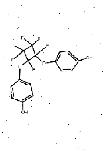 Oc1ccc(OC2(F)C(F)(F)C(F)(F)C2(F)Oc2ccc(O)cc2)cc1